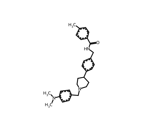 Cc1ccc(C(=O)NCc2ccc(C3CCN(Cc4ccc(N(C)C)cc4)CC3)cc2)cc1